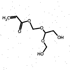 C=CC(=O)OCOC(CO)OCO